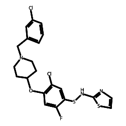 Fc1cc(OC2CCN(Cc3cccc(Cl)c3)CC2)c(Cl)cc1SNc1nccs1